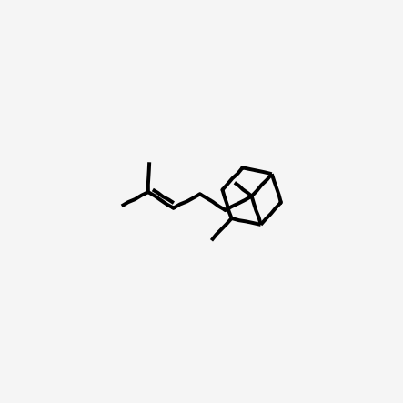 CC(C)=CCCC1(C)C2CCC(C)C1C2